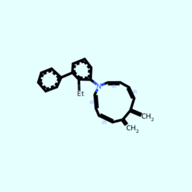 C=C1/C=C\C=C/N(c2cccc(-c3ccccc3)c2CC)/C=C\C=C/C1=C